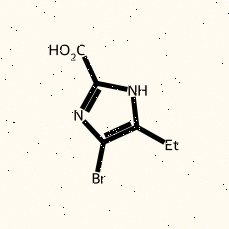 CCc1[nH]c(C(=O)O)nc1Br